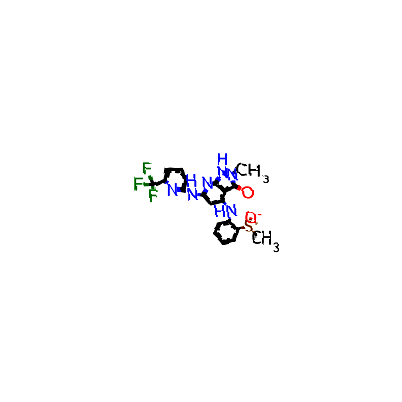 Cn1[nH]c2nc(Nc3cccc(C(F)(F)F)n3)cc(Nc3ccccc3[S+](C)[O-])c2c1=O